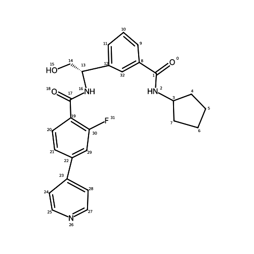 O=C(NC1CCCC1)c1cccc([C@@H](CO)NC(=O)c2ccc(-c3ccncc3)cc2F)c1